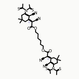 CC(=S)N(C(C)=S)C1=C(C#N)/C(=C(\C#N)C(=O)OCCCCCCOC(=O)/C(C#N)=C2\CC(C)(C)CC(N(C(C)=S)C(C)=S)=C2C#N)CC(C)(C)C1